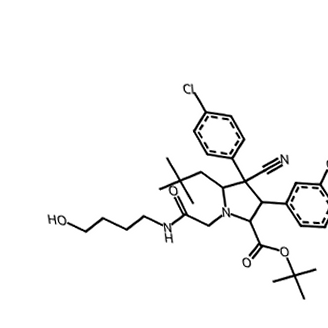 CC(C)(C)CC1N(CC(=O)NCCCCO)C(C(=O)OC(C)(C)C)C(c2cccc(Cl)c2)C1(C#N)c1ccc(Cl)cc1